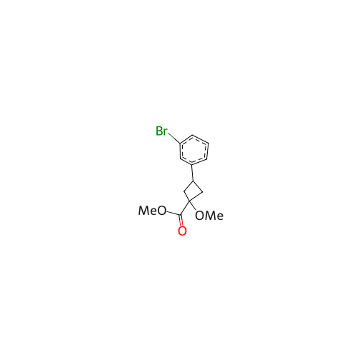 COC(=O)C1(OC)CC(c2cccc(Br)c2)C1